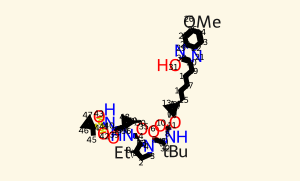 CC[C@@H]1CCN(C(=O)[C@@H](NC(=O)O[C@@H]2C[C@H]2CCCCCc2nc3ccc(OC)cc3nc2O)C(C)(C)C)[C@@H]1C(=O)N[C@]1(C(=O)NS(=O)(=O)C2(C)CC2)C[C@H]1C